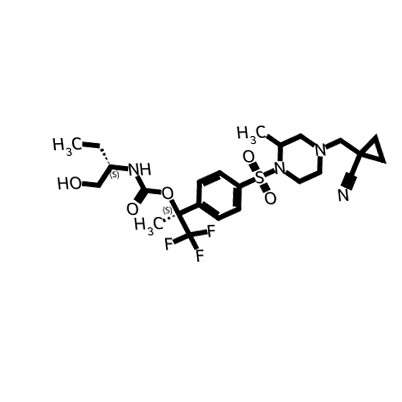 CC[C@@H](CO)NC(=O)O[C@@](C)(c1ccc(S(=O)(=O)N2CCN(CC3(C#N)CC3)CC2C)cc1)C(F)(F)F